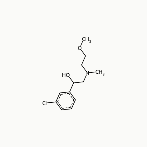 COCCN(C)CC(O)c1cccc(Cl)c1